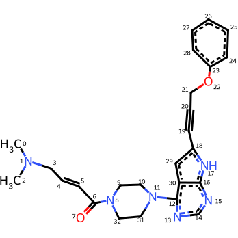 CN(C)CC=CC(=O)N1CCN(c2ncnc3[nH]c(C#CCOc4ccccc4)cc23)CC1